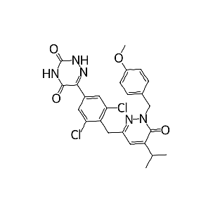 COc1ccc(Cn2nc(Cc3c(Cl)cc(-c4n[nH]c(=O)[nH]c4=O)cc3Cl)cc(C(C)C)c2=O)cc1